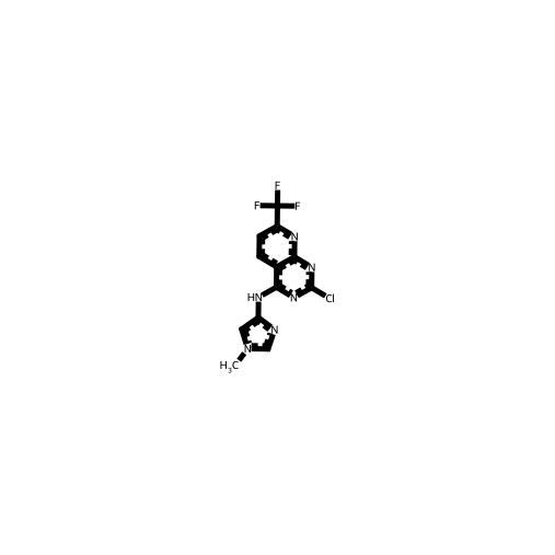 Cn1cnc(Nc2nc(Cl)nc3nc(C(F)(F)F)ccc23)c1